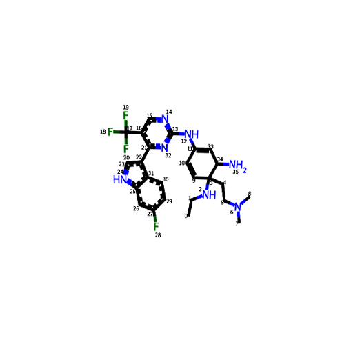 CCNC1(CCN(C)C)C=CC(Nc2ncc(C(F)(F)F)c(-c3c[nH]c4cc(F)ccc34)n2)=CC1N